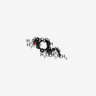 CCn1c(-c2cccnc2C(C)C)c2c3cc(ccc31)-c1cccc(c1)C[C@H](NC(=O)[C@H](C(C)C)N(C)C(=O)[C@H]1C[C@H](N=C=NCCOC)C1)C(=O)N1CCC[C@H](N1)C(=O)OCC(C)(C)C2